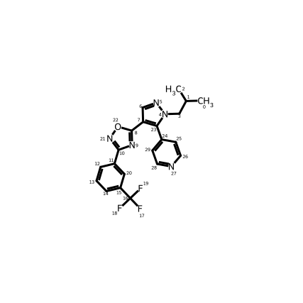 CC(C)Cn1ncc(-c2nc(-c3cccc(C(F)(F)F)c3)no2)c1-c1ccncc1